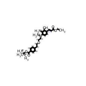 CCOC(=O)/C=C/c1ccc(N(N)CCOCCc2ccc(C(=O)OC(C)(C)C)cc2)c(N)c1C